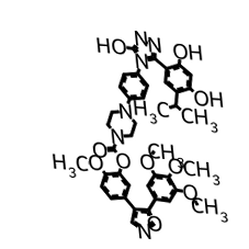 COc1ccc(-c2cnoc2-c2cc(OC)c(OC)c(OC)c2)cc1OC(=O)N1CCN(c2ccc(-n3c(O)nnc3-c3cc(C(C)C)c(O)cc3O)cc2)CC1